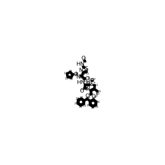 O=CNc1nc(C(=NOC2C=CCC2)C(=O)N[C@H]2C(=O)N3C(C(=O)OC(c4ccccc4)c4ccccc4)=C(CI)C[S+]([O-])[C@@H]23)cs1